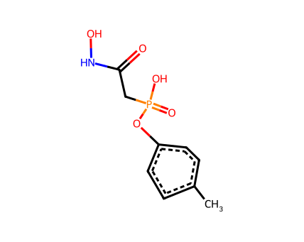 Cc1ccc(OP(=O)(O)CC(=O)NO)cc1